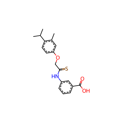 Cc1cc(OCC(=S)Nc2cccc(C(=O)O)c2)ccc1C(C)C